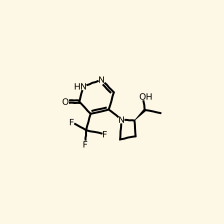 CC(O)[C@H]1CCN1c1cn[nH]c(=O)c1C(F)(F)F